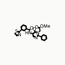 COC(=O)Cn1c(-c2ccccc2)ncc(NC(=O)c2cccc(-c3nccs3)c2)c1=O